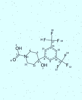 O=C(O)N1CCC(O)(c2cc(C(F)(F)F)cc(C(F)(F)F)c2)CC1